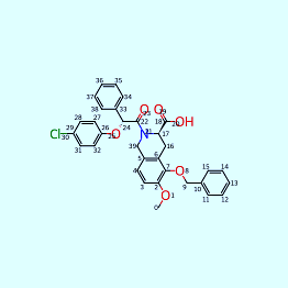 COc1ccc2c(c1OCc1ccccc1)C[C@H](C(=O)O)N(C(=O)[C@H](Oc1ccc(Cl)cc1)c1ccccc1)C2